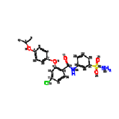 CC(C)Oc1ccc(Oc2cc(Cl)ccc2C(=O)NC2=CC(S(N)(=O)=O)CC=C2)cc1